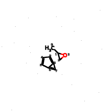 CC1CO1.c1cc2cc-2c1